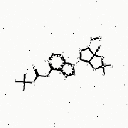 CC(C)(C)OC(=O)Nc1ncnc2c1ncn2[C@@H]1O[C@H](CO)[C@@H]2OC(C)(C)OC21